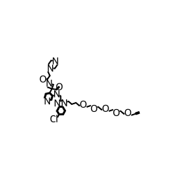 C#CCOCCOCCOCCOCCOCCCCn1c(CN2C(=O)C3(CN(C(=O)CCN4CCN(C)CC4)C3)c3ccncc32)nc2cc(Cl)ccc21